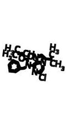 CC(C)c1cnc2c(N(Cc3ccccc3)C(=O)OC(C)(C)C)nc(Cl)cn12